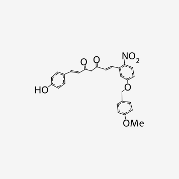 COc1ccc(COc2ccc([N+](=O)[O-])c(C=CC(=O)CC(=O)C=Cc3ccc(O)cc3)c2)cc1